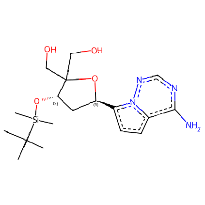 CC(C)(C)[Si](C)(C)O[C@H]1C[C@H](c2ccc3c(N)ncnn23)OC1(CO)CO